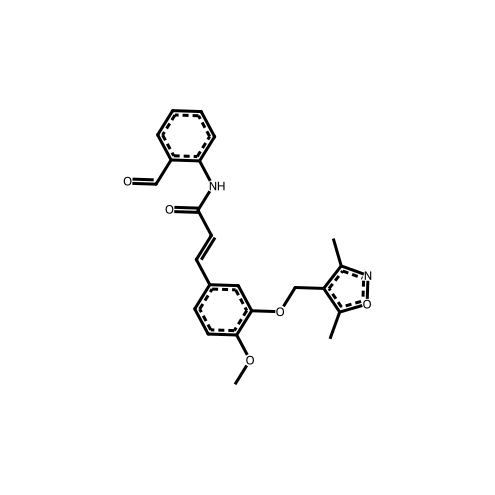 COc1ccc(/C=C/C(=O)Nc2ccccc2C=O)cc1OCc1c(C)noc1C